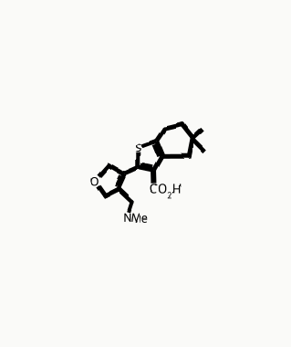 CNCC1=C(c2sc3c(c2C(=O)O)CC(C)(C)CC3)COC1